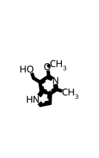 COc1nc(C)c2cc[nH]c2c1CO